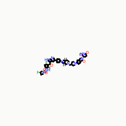 O=C1CCC(N2Cc3cc(N4CCC(CN5CC[C@H]6CN(c7ccc(-c8cnc9[nH]cc(C(=O)c%10c(F)ccc(NS(=O)(=O)N%11CC[C@@H](F)C%11)c%10F)c9c8)cc7)C[C@H]6C5)CC4)ccc3C2=O)C(=O)N1